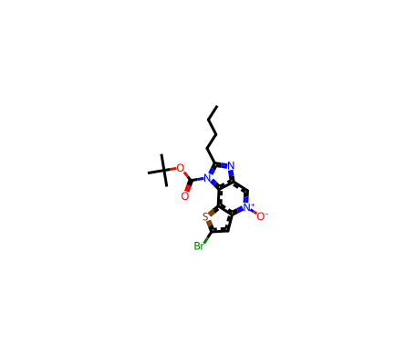 CCCCc1nc2c[n+]([O-])c3cc(Br)sc3c2n1C(=O)OC(C)(C)C